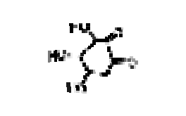 O=C1CC(O)[C@H](O)C(O)C1=O